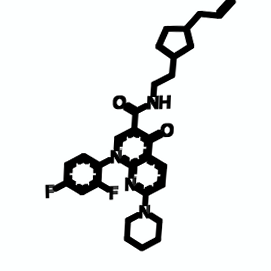 C=CCC1CCC(CCNC(=O)c2cn(-c3ccc(F)cc3F)c3nc(N4CCCCC4)ccc3c2=O)C1